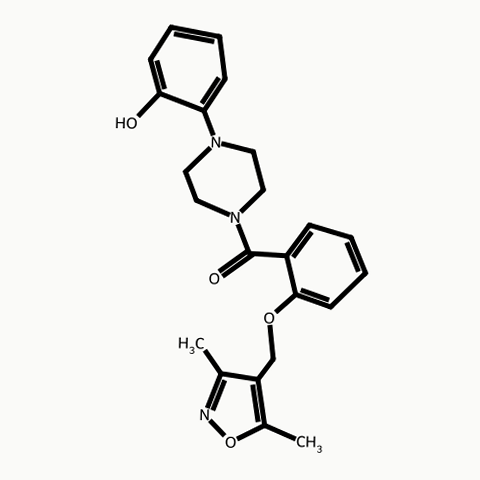 Cc1noc(C)c1COc1ccccc1C(=O)N1CCN(c2ccccc2O)CC1